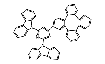 c1ccc2c(c1)-c1ccccc1-c1ccc(-c3cc(-n4c5ccccc5c5ccccc54)nc(-n4c5ccccc5c5ccccc54)c3)cc1-c1ccccc1-2